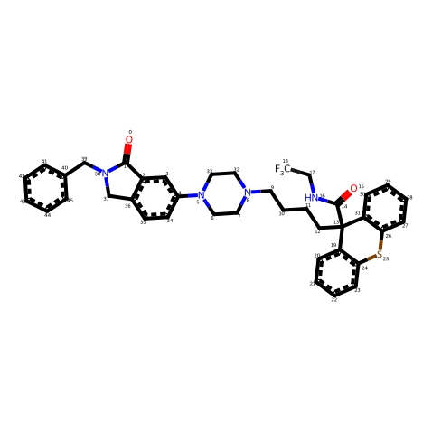 O=C1c2cc(N3CCN(CCCCC4(C(=O)NCC(F)(F)F)c5ccccc5Sc5ccccc54)CC3)ccc2CN1Cc1ccccc1